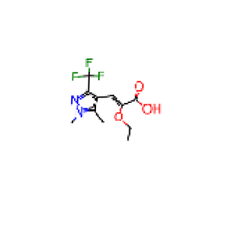 CCOC(=Cc1c(C(F)(F)F)nn(C)c1C)C(=O)O